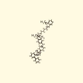 COc1ccccc1COCCCCCC[N+](C)(C)Cc1ccc(CN2CCC(OC(=O)Nc3ccccc3-c3ccccc3)CC2)cc1